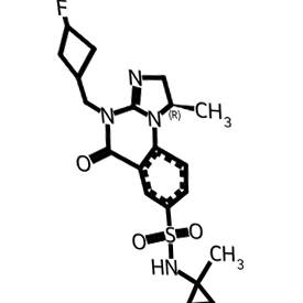 C[C@@H]1CN=C2N(CC3CC(F)C3)C(=O)c3cc(S(=O)(=O)NC4(C)CC4)ccc3N21